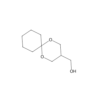 OCC1COC2(CCCCC2)OC1